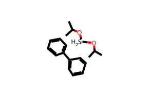 CC(C)O[SiH2]OC(C)C.c1ccc(-c2ccccc2)cc1